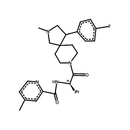 Cc1ccnc(C(=O)N[C@@H](C(=O)N2CCC3(CC2)CN(C)CC3c2ccc(F)cc2)C(C)C)c1